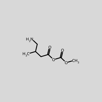 COC(=O)OC(=O)CC(C)CN